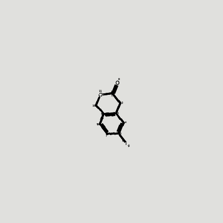 O=C1Cc2cc(I)ccc2CO1